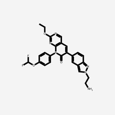 CCOc1ncc2cc(-c3ccc4nn(CCN)cc4c3)c(=O)n(-c3ccc(OC(F)F)cc3)c2n1